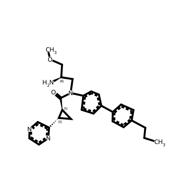 CCCc1ccc(-c2ccc(N(C[C@@H](N)COC)C(=O)[C@H]3C[C@@H]3c3cnccn3)cc2)cc1